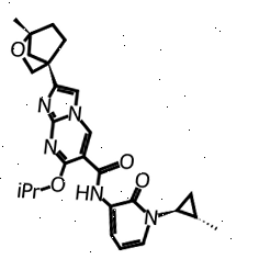 CC(C)Oc1nc2nc([C@]34CC[C@](C)(C3)OC4)cn2cc1C(=O)Nc1cccn([C@H]2C[C@@H]2C)c1=O